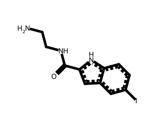 NCCNC(=O)c1cc2cc(I)ccc2[nH]1